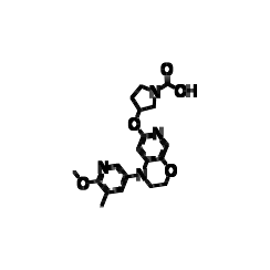 COc1ncc(N2CCOc3cnc(OC4CCN(C(=O)O)C4)cc32)cc1C